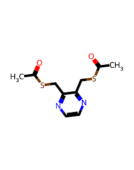 CC(=O)SCc1nccnc1CSC(C)=O